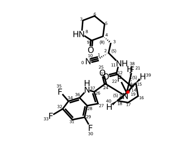 N#C[C@H](C[C@H]1CCCNC1=O)NC(=O)[C@H]1[C@@H]2CC[C@@H](CC2(F)F)N1C(=O)c1cc2c(F)cc(F)c(F)c2[nH]1